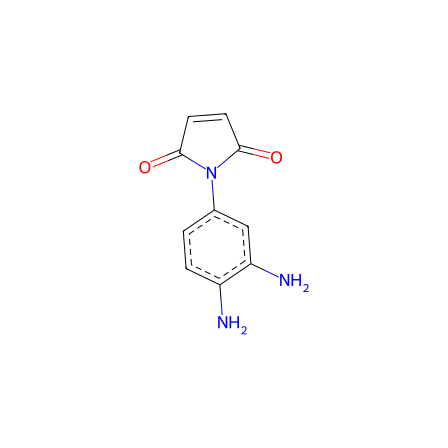 Nc1ccc(N2C(=O)C=CC2=O)cc1N